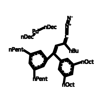 CCCCCCCCC[CH2][Pd][CH2]CCCCCCCCC.CCCCCCCCc1cc(CCCCCCCC)cc(C(=CC(=C=[N+]=[N-])CCCC)c2cc(CCCCC)cc(CCCCC)c2)c1